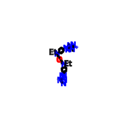 CCN(CCOCCN(CC)c1ccc(N=Nc2n(C)nc[n+]2C)cc1)c1ccc(N=Nc2n(C)nc[n+]2C)cc1